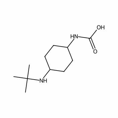 CC(C)(C)NC1CCC(NC(=O)O)CC1